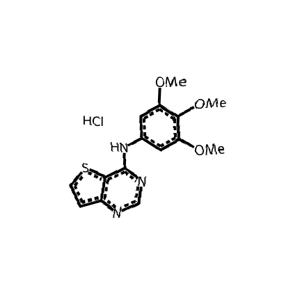 COc1cc(Nc2ncnc3ccsc23)cc(OC)c1OC.Cl